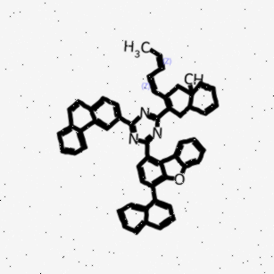 C/C=C\C=C/C1=C(c2nc(-c3ccc4ccc5ccccc5c4c3)nc(-c3ccc(-c4cccc5ccccc45)c4oc5ccccc5c34)n2)CC2C=CC=CC2(C)C1